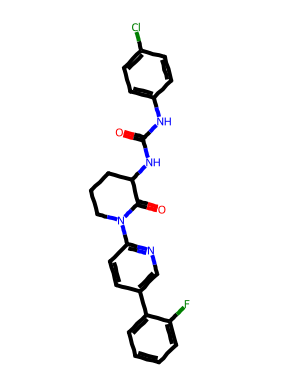 O=C(Nc1ccc(Cl)cc1)NC1CCCN(c2ccc(-c3ccccc3F)cn2)C1=O